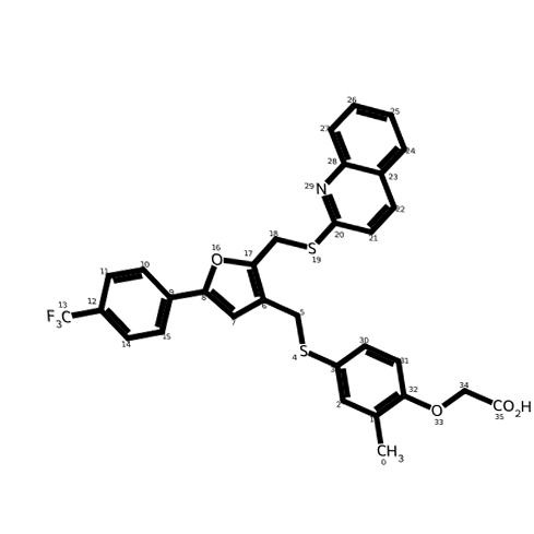 Cc1cc(SCc2cc(-c3ccc(C(F)(F)F)cc3)oc2CSc2ccc3ccccc3n2)ccc1OCC(=O)O